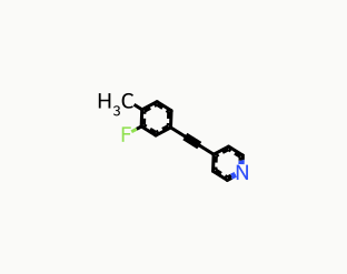 Cc1ccc(C#Cc2ccncc2)cc1F